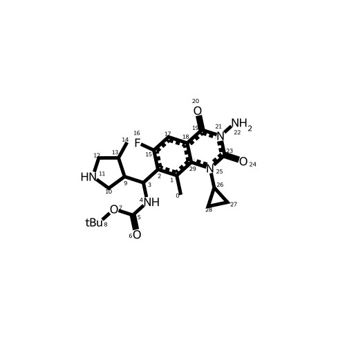 Cc1c(C(NC(=O)OC(C)(C)C)C2CNCC2C)c(F)cc2c(=O)n(N)c(=O)n(C3CC3)c12